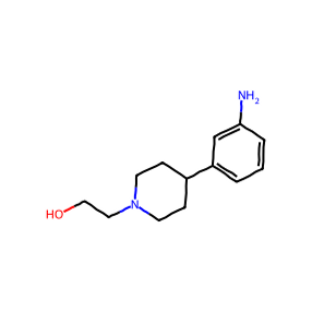 Nc1cccc(C2CCN(CCO)CC2)c1